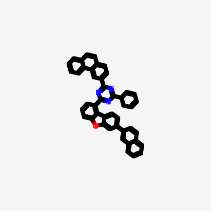 C1=CCC(c2nc(-c3ccc4ccc5ccccc5c4c3)nc(-c3cccc4oc5cc(-c6ccc7ccccc7c6)ccc5c34)n2)C=C1